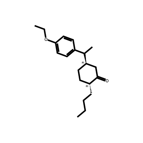 CCCC[C@@H]1CC[C@@H](C(C)c2ccc(OCC)cc2)CC1=O